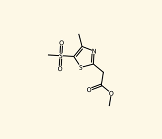 COC(=O)Cc1nc(C)c(S(C)(=O)=O)s1